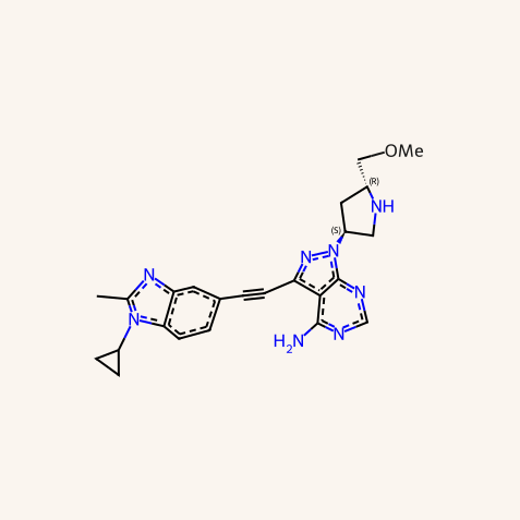 COC[C@H]1C[C@H](n2nc(C#Cc3ccc4c(c3)nc(C)n4C3CC3)c3c(N)ncnc32)CN1